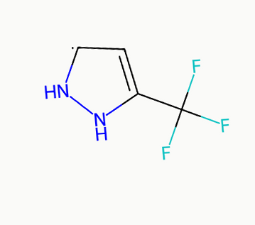 FC(F)(F)C1=C[CH]NN1